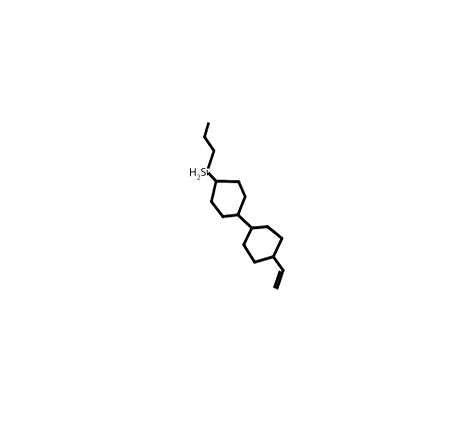 C=CC1CCC(C2CCC([SiH2]CCC)CC2)CC1